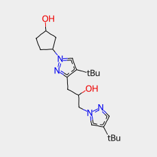 CC(C)(C)c1cnn(CC(O)Cc2nn(C3CCC(O)C3)cc2C(C)(C)C)c1